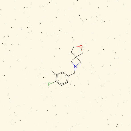 Cc1cc(CN2CC3(CCOC3)C2)ccc1F